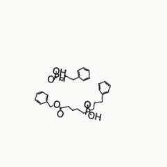 O=C(CCCCP(=O)(O)CCCc1ccccc1)OCc1ccccc1.O=[PH](O)CCCc1ccccc1